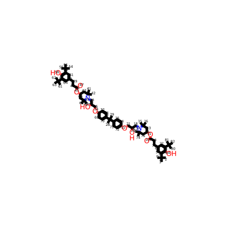 CC(C)(C)c1cc(CCC(=O)OC2CC(C)(C)N(CC(O)COc3ccc(C(C)(C)c4ccc(OCC(O)CN5C(C)(C)CC(OC(=O)CCc6cc(C(C)(C)C)c(O)c(C(C)(C)C)c6)CC5(C)C)cc4)cc3)C(C)(C)C2)cc(C(C)(C)C)c1O